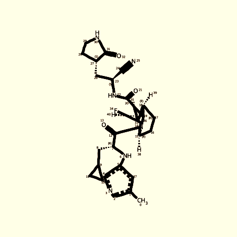 Cc1cncc(N[C@H](CC2CC2)C(=O)N2[C@@H]3CC[C@H]([C@@H]2C(=O)N[C@H](C#N)C[C@@H]2CCNC2=O)C(F)(F)C3)c1